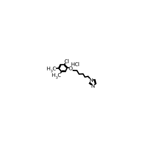 Cc1cc(Cl)c(OCCCCCCn2ccnc2)cc1C.Cl